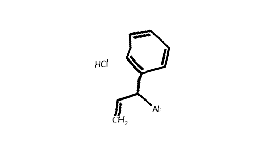 C=C[CH]([Al])c1ccccc1.Cl